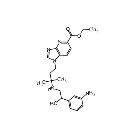 CCOC(=O)c1ccc2c(ncn2CCC(C)(C)NCC(O)c2cccc(N)c2)n1